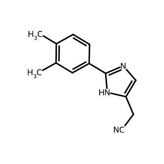 Cc1ccc(-c2ncc(CC#N)[nH]2)cc1C